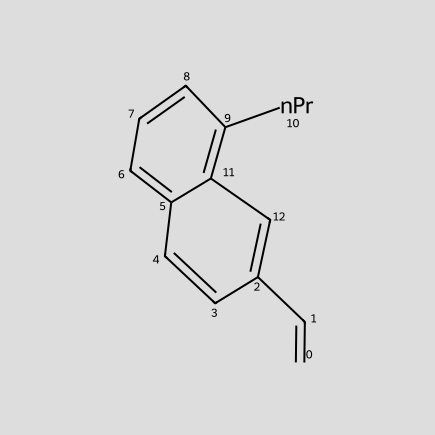 C=Cc1ccc2cccc(CCC)c2c1